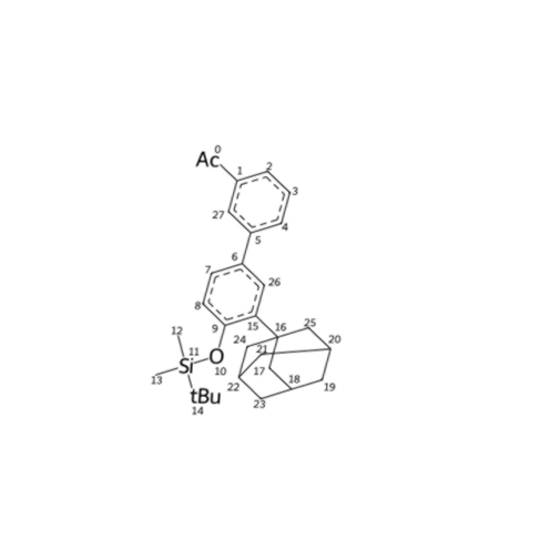 CC(=O)c1cccc(-c2ccc(O[Si](C)(C)C(C)(C)C)c(C34CC5CC(CC(C5)C3)C4)c2)c1